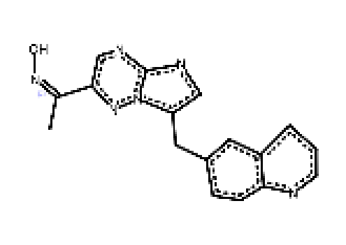 C/C(=N/O)c1cnc2ncc(Cc3ccc4ncccc4c3)n2n1